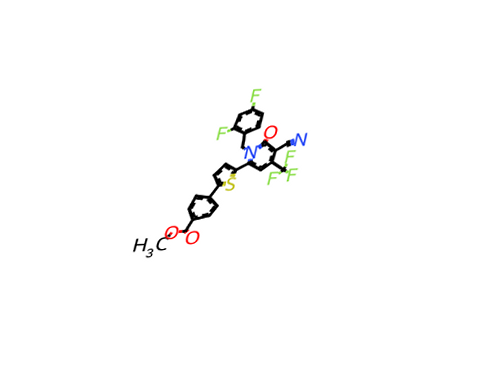 COC(=O)c1ccc(-c2ccc(-c3cc(C(F)(F)F)c(C#N)c(=O)n3Cc3ccc(F)cc3F)s2)cc1